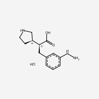 Cl.NNc1cccc(C[C@H](C(=O)O)[C@H]2CCNC2)c1